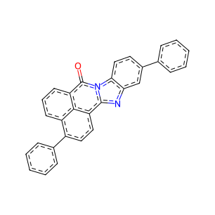 O=c1c2cccc3c(-c4ccccc4)ccc(c32)c2nc3cc(-c4ccccc4)ccc3n12